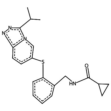 CC(C)c1nnc2ccc(Sc3ccccc3CNC(=O)C3CC3)cn12